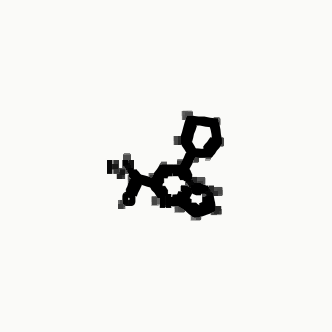 NC(=O)c1cc(C2C=CCC=C2)n2nccc2n1